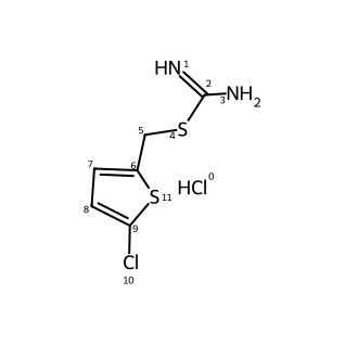 Cl.N=C(N)SCc1ccc(Cl)s1